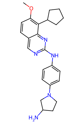 COc1ccc2cnc(Nc3ccc(N4CCC(N)C4)cc3)nc2c1C1CCCC1